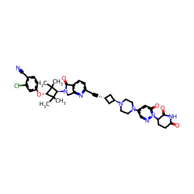 CC1(C)[C@H](Oc2ccc(C#N)c(Cl)c2)C(C)(C)[C@H]1N1Cc2nc(C#C[C@H]3C[C@H](N4CCN(c5cnn(C6CCC(=O)NC6=O)c(=O)c5)CC4)C3)ccc2C1=O